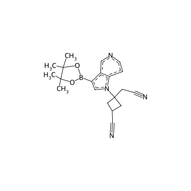 CC1(C)OB(c2cn(C3(CC#N)CC(C#N)C3)c3ccncc23)OC1(C)C